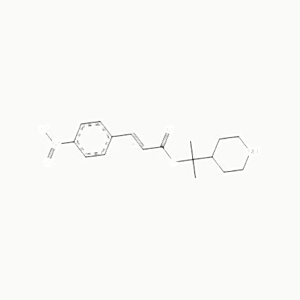 CC(C)(OC(=O)/C=C/c1ccc([N+](=O)[O-])cc1)C1CCNCC1